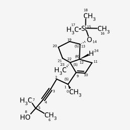 C[C@@H](CC#CC(C)(C)O)C1=CC[C@H]2[C@@H](O[Si](C)(C)C)CCC[C@]12C